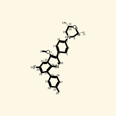 COc1c(-c2ccc(N3C[C@@H](C)O[C@@H](C)C3)cc2)cnc2c(-c3ccc(C)cc3)cc(F)cc12